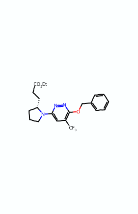 CCOC(=O)CC[C@H]1CCCN1c1cc(C(F)(F)F)c(OCc2ccccc2)nn1